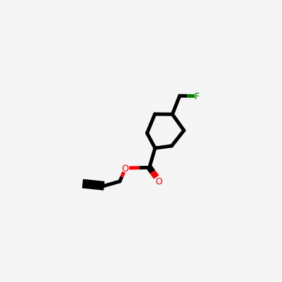 C#CCOC(=O)C1CCC(CF)CC1